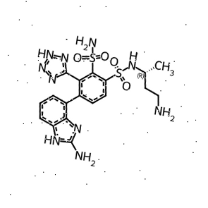 C[C@H](CCN)NS(=O)(=O)c1ccc(-c2cccc3[nH]c(N)nc23)c(-c2nn[nH]n2)c1S(N)(=O)=O